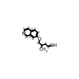 CC(CC=N)COc1ccc2ccncc2c1